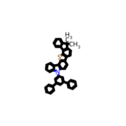 CC1(C)c2ccccc2-c2c1ccc1c2sc2c1ccc1c2c2ccccc2n1-c1cc(-c2ccccc2)cc(-c2ccccc2)c1